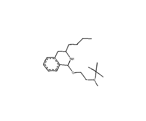 CCCCC1Cc2ccccc2C(OCCN(C)C(C)(C)C)N1